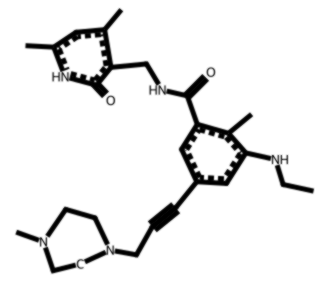 CCNc1cc(C#CCN2CCN(C)CC2)cc(C(=O)NCc2c(C)cc(C)[nH]c2=O)c1C